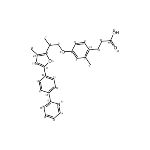 Cc1cc(OCC(C)c2oc(-c3ccc(-c4ncccn4)cc3)nc2C)ccc1CCC(=O)O